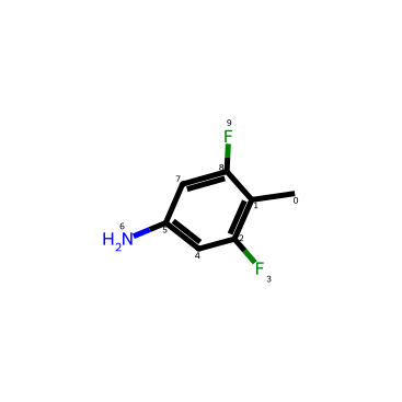 Cc1c(F)cc(N)cc1F